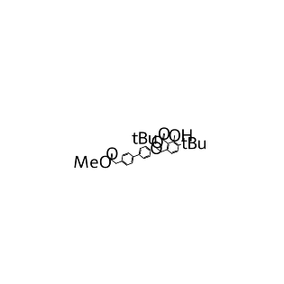 COC(=O)Cc1ccc(-c2ccc(OCc3ccc(C(C)(C)C)c(O)c3C(=O)OC(C)(C)C)cc2)cc1